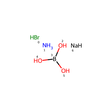 Br.N.OB(O)O.[NaH]